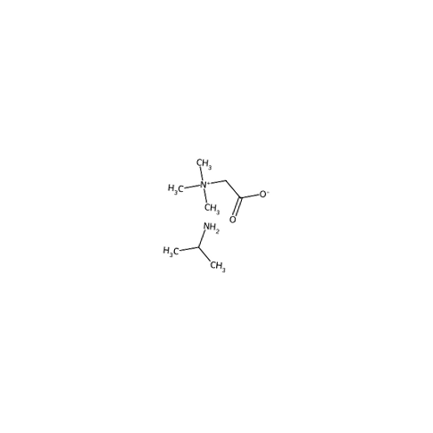 CC(C)N.C[N+](C)(C)CC(=O)[O-]